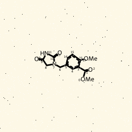 COC(=O)c1cc(CN2CC(=O)NC2=O)ccc1OC